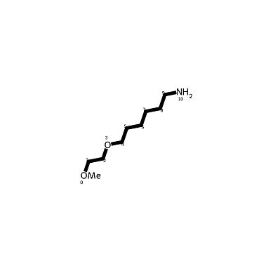 COCCOCCCCCCN